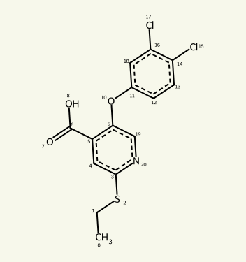 CCSc1cc(C(=O)O)c(Oc2ccc(Cl)c(Cl)c2)cn1